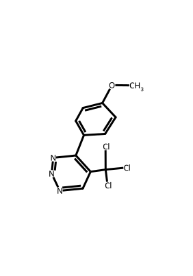 COc1ccc(-c2nnncc2C(Cl)(Cl)Cl)cc1